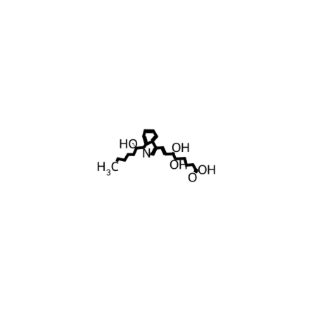 CCCCC[C@H](O)c1ncc(C=CC(O)C(O)CCCC(=O)O)c2ccccc12